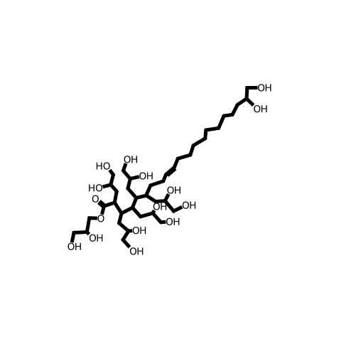 O=C(OCC(O)CO)C(CC(O)CO)C(CC(O)CO)C(CC(O)CO)C(CC(O)CO)C(CCC=CCCCCCCCCCC(O)CO)CC(O)CO